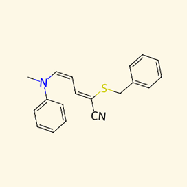 CN(/C=C\C=C(\C#N)SCc1ccccc1)c1ccccc1